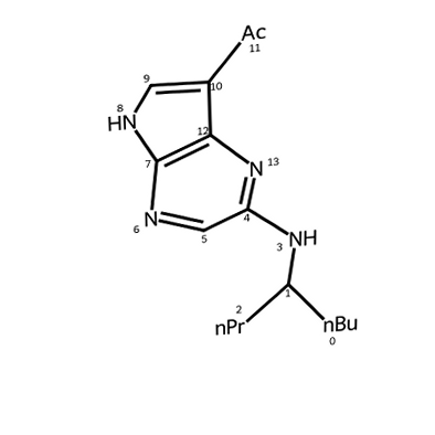 CCCCC(CCC)Nc1cnc2[nH]cc(C(C)=O)c2n1